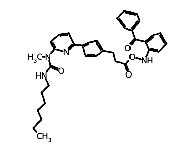 CCCCCCCNC(=O)N(C)c1cccc(-c2ccc(CCC(=O)ONc3ccccc3C(=O)c3ccccc3)cc2)n1